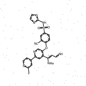 CN/C(=C\C=N)c1cc(-c2ccnc(F)c2)ncc1Oc1ccc(S(=O)(=O)Nc2nccs2)cc1C#N